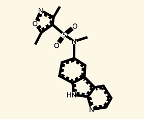 Cc1noc(C)c1S(=O)(=O)N(C)c1ccc2[nH]c3ncccc3c2c1